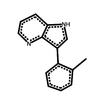 Cc1ccccc1-c1c[nH]c2cccnc12